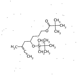 C=C=C(C)CC(CCCOC(=O)C(C)(C)C)O[Si](C)(C)C(C)(C)C